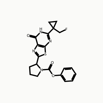 O=C(Oc1ccccc1)N1CCCC1c1nc2c(=O)[nH]c(C3(CF)CC3)nc2s1